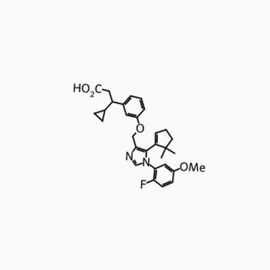 COc1ccc(F)c(-n2cnc(COc3cccc(C(CC(=O)O)C4CC4)c3)c2C2=CCCC2(C)C)c1